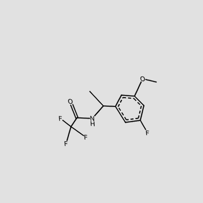 COc1cc(F)cc(C(C)NC(=O)C(F)(F)F)c1